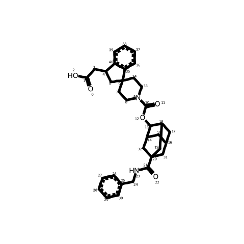 O=C(O)CC1CC2(CCN(C(=O)OC3C4CC5CC3CC(C(=O)NCc3ccccc3)(C5)C4)CC2)c2ccccc21